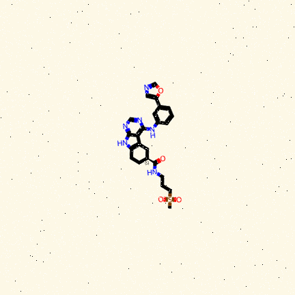 CS(=O)(=O)CCCNC(=O)[C@H]1CCc2[nH]c3ncnc(Nc4cccc(-c5cnco5)c4)c3c2C1